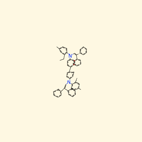 CCc1cc(C)ccc1N(C=C(c1ccccc1)c1ccccc1)c1ccc(-c2ccc(N(C=C(c3ccccc3)c3ccccc3)c3ccc(C)cc3C)cc2)cc1